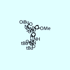 COc1ccc(CN(c2scnc2C(=O)OCC(C)C)S(=O)(=O)c2ccc(N/C(=N/C(=O)OC(C)(C)C)NC(=O)OC(C)(C)C)cc2)cc1